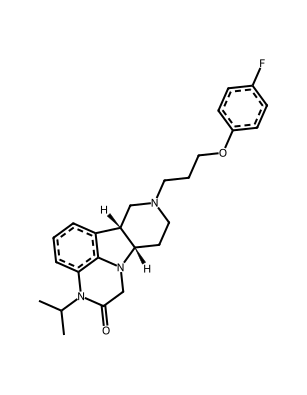 CC(C)N1C(=O)CN2c3c(cccc31)[C@@H]1CN(CCCOc3ccc(F)cc3)CC[C@@H]12